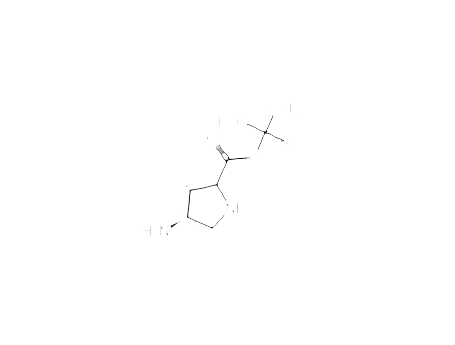 CC(C)(C)OC(=O)C1C[C@H](N)CN1